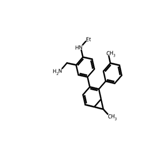 CCNc1ccc(C2=C(c3cccc(C)c3)C3C(C)C3C=C2)cc1CN